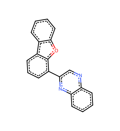 c1ccc2nc(-c3cccc4c3oc3ccccc34)cnc2c1